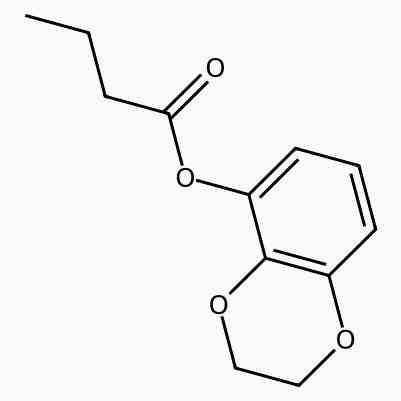 CCCC(=O)Oc1cccc2c1OCCO2